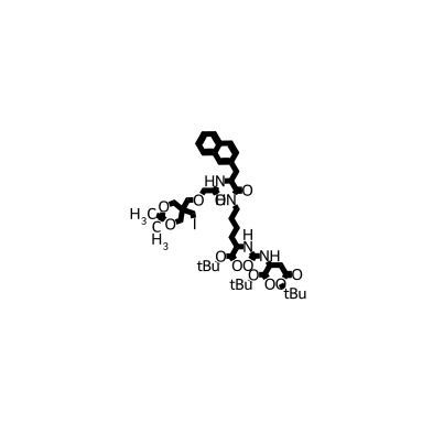 CC(C)(C)OC(=O)CC(NC(=O)NC(CCCCNC(=O)C(Cc1ccc2ccccc2c1)NC(=O)COCC1(CI)COC(C)(C)OC1)C(=O)OC(C)(C)C)C(=O)OC(C)(C)C